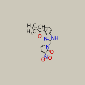 CC(C)(C)C(=O)c1cccc2[nH]c(Cn3cccc([N+](=O)[O-])c3=O)nc12